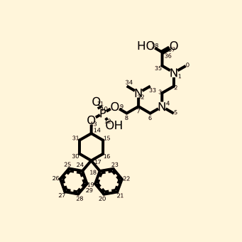 CN(CCN(C)CC(COP(=O)(O)OC1CCC(c2ccccc2)(c2ccccc2)CC1)N(C)C)CC(=O)O